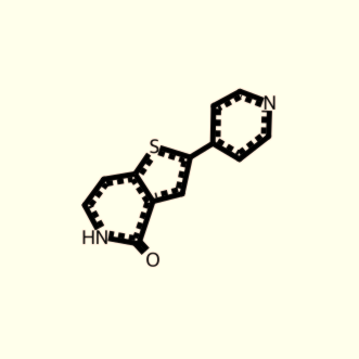 O=c1[nH]ccc2sc(-c3ccncc3)cc12